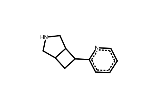 c1ccc(C2CC3CNCC32)nc1